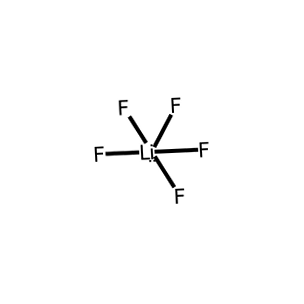 [F][Li]([F])([F])([F])[F]